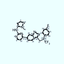 Cn1nccc1Nc1nccc(-c2ccn3c(C[C@H](c4ccc(F)cc4)C(F)(F)F)nnc3c2)n1